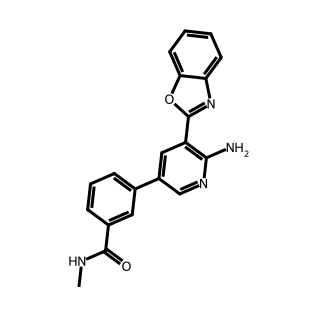 CNC(=O)c1cccc(-c2cnc(N)c(-c3nc4ccccc4o3)c2)c1